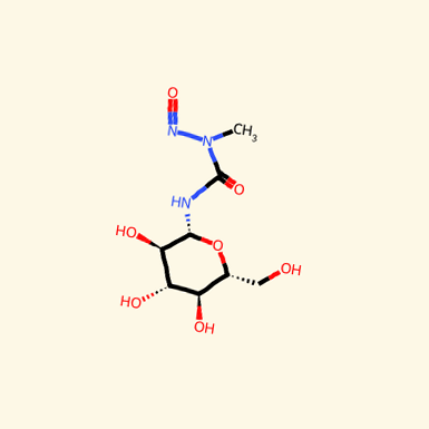 CN(N=O)C(=O)N[C@@H]1O[C@H](CO)[C@@H](O)[C@H](O)[C@H]1O